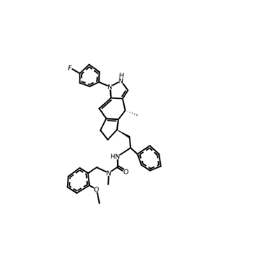 COc1ccccc1CN(C)C(=O)NC(C[C@H]1CCC2=C1[C@@H](C)C1=CNN(c3ccc(F)cc3)C1=C2)c1ccccc1